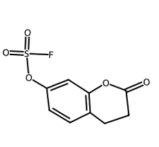 O=C1CCc2ccc(OS(=O)(=O)F)cc2O1